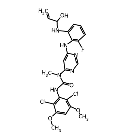 C=CC(O)Nc1cccc(F)c1Nc1cc(N(C)C(=O)Nc2c(Cl)c(OC)cc(OC)c2Cl)ncn1